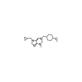 COC1CCC(CN2C=C3C(=NCN3CC3CC3)N(C)C2)CC1